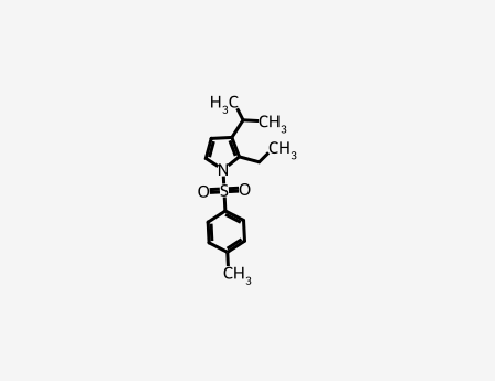 CCc1c(C(C)C)ccn1S(=O)(=O)c1ccc(C)cc1